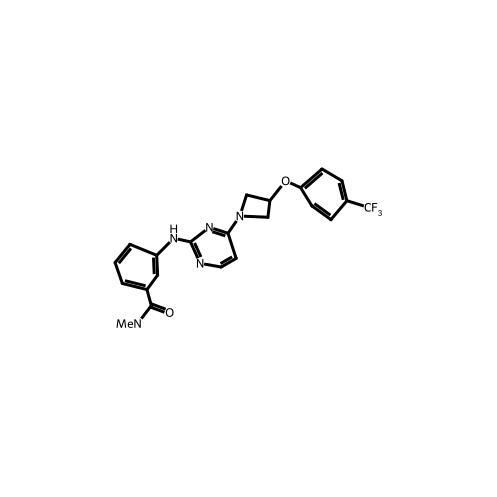 CNC(=O)c1cccc(Nc2nccc(N3CC(Oc4ccc(C(F)(F)F)cc4)C3)n2)c1